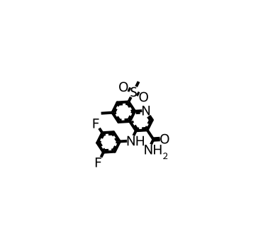 Cc1cc(S(C)(=O)=O)c2ncc(C(N)=O)c(Nc3cc(F)cc(F)c3)c2c1